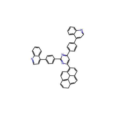 C1=CC2=C3C(=CC=C4C=CC(c5cc(-c6ccc(-c7ccnc8ccccc78)cc6)nc(-c6ccc(-c7ccnc8ccccc78)cc6)n5)=C(C=C2)C43)C1